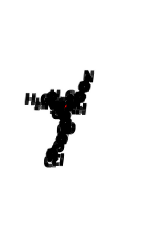 COC(=O)C(Cc1ccc(-c2ccc(C#N)cc2)cc1)NC(=O)[C@@H]1Cc2cc3c(cc2CN1S(=O)(=O)c1sc(NC(C)=O)nc1C)O[C@H](c1ccc(OCc2ccc(Cl)c(Cl)c2)cc1)CO3